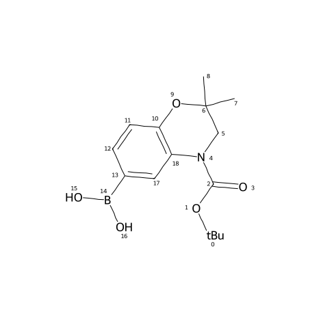 CC(C)(C)OC(=O)N1CC(C)(C)Oc2ccc(B(O)O)cc21